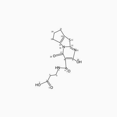 O=C(O)CCNC(=O)c1c(O)nc2sc3c(n2c1=O)CCC3